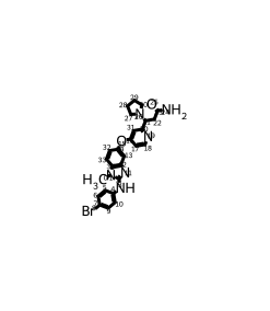 Cn1c(Nc2ccc(Br)cc2)nc2cc(Oc3ccnc(C(CC(N)=O)N4CCCC4)c3)ccc21